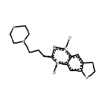 [O-][n+]1nc(CCCN2CCOCC2)[n+]([O-])c2cc3c(cc21)CCO3